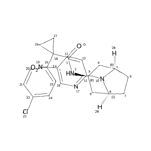 O=C(N[C@H]1C[C@H]2CC[C@@H](C1)N2c1ccc([N+](=O)[O-])cn1)C1(c2ccc(Cl)cc2)CC1